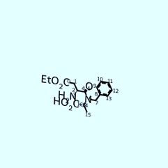 CCOC(=O)C[C@@H](N)C(=O)N(Cc1ccccc1)[C@H](C)C(=O)O